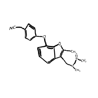 CPN(C)Cc1c(C)oc2c(Oc3ccc(C#N)cc3)cccc12